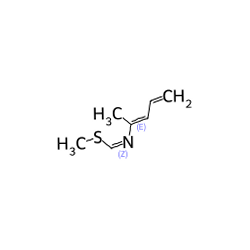 C=C/C=C(C)/N=C\SC